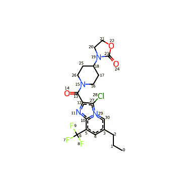 CCCc1cc(C(F)(F)F)c2nc(C(=O)N3CCC(N4CCOC4=O)CC3)c(Cl)n2c1